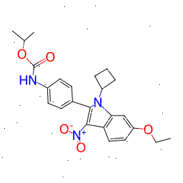 CCOc1ccc2c([N+](=O)[O-])c(-c3ccc(NC(=O)OC(C)C)cc3)n(C3CCC3)c2c1